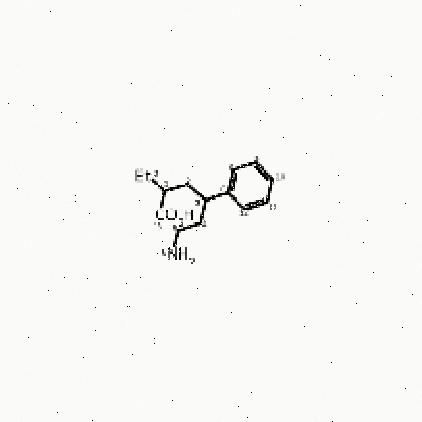 CCC(CC(CCN)c1ccccc1)C(=O)O